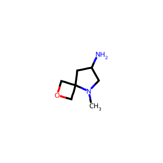 CN1CC(N)CC12COC2